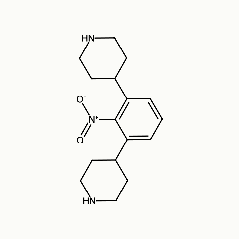 O=[N+]([O-])c1c(C2CCNCC2)cccc1C1CCNCC1